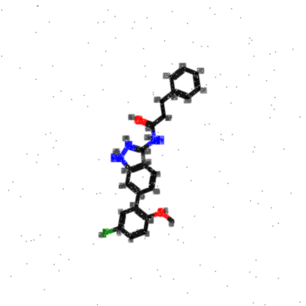 COc1ccc(F)cc1-c1ccc2c(NC(=O)CCc3ccccc3)n[nH]c2c1